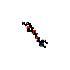 CCC(CCOCCOCCN(C)C)OC